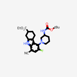 CCOC(=O)C1CCc2c([nH]c3c(C#N)cc(F)c(N4CCCC(NC(=O)OC(C)(C)C)C4)c23)C1